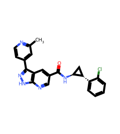 Cc1cc(-c2n[nH]c3ncc(C(=O)N[C@H]4C[C@@H]4c4ccccc4Cl)cc23)ccn1